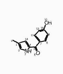 Cc1c[nH]c(C(=O)c2ccc(O)cc2)c1